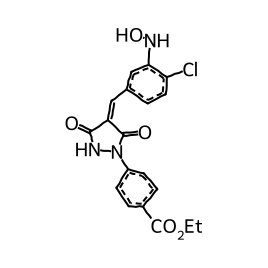 CCOC(=O)c1ccc(N2NC(=O)/C(=C/c3ccc(Cl)c(NO)c3)C2=O)cc1